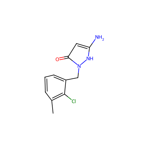 Cc1cccc(Cn2[nH]c(N)cc2=O)c1Cl